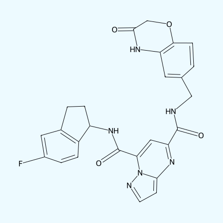 O=C1COc2ccc(CNC(=O)c3cc(C(=O)NC4CCc5cc(F)ccc54)n4nccc4n3)cc2N1